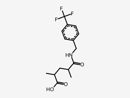 CC(CC(C)C(=O)NCc1ccc(C(F)(F)F)cc1)C(=O)O